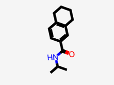 CC(C)NC(=O)c1ccc2c(c1)CCCC2